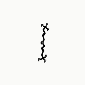 FC(F)(F)CC=CCOCC=CCC(F)(F)F